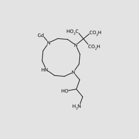 NCC(O)CN1CCNCC[N]([Gd])CCN(C(C(=O)O)(C(=O)O)C(=O)O)CC1